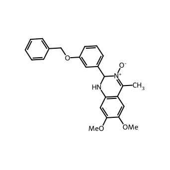 COc1cc2c(cc1OC)C(C)=[N+]([O-])C(c1cccc(OCc3ccccc3)c1)N2